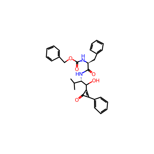 CC(C)[C@H](NC(=O)[C@H](Cc1ccccc1)NC(=O)OCc1ccccc1)C(O)c1c(-c2ccccc2)c1=O